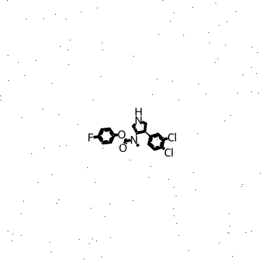 CN(C(=O)Oc1ccc(F)cc1)[C@@H]1CNC[C@H]1c1ccc(Cl)c(Cl)c1